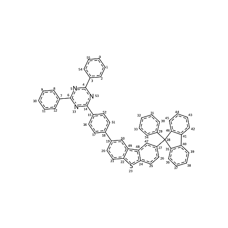 c1ccc(-c2nc(-c3ccccc3)nc(-c3ccc(-c4ccc5sc6ccc(C7(c8ccccc8)c8ccccc8-c8ccccc87)cc6c5c4)cc3)n2)cc1